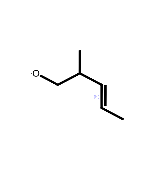 C/C=C/C(C)C[O]